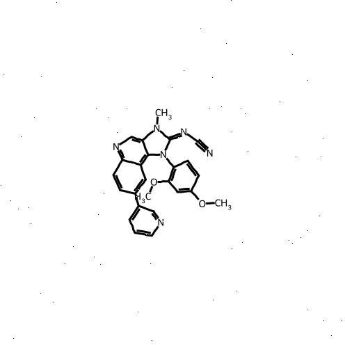 COc1ccc(-n2c(=NC#N)n(C)c3cnc4ccc(-c5cccnc5)cc4c32)c(OC)c1